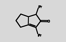 CC(C)C1=C2CCCC2C(C(C)C)C1=O